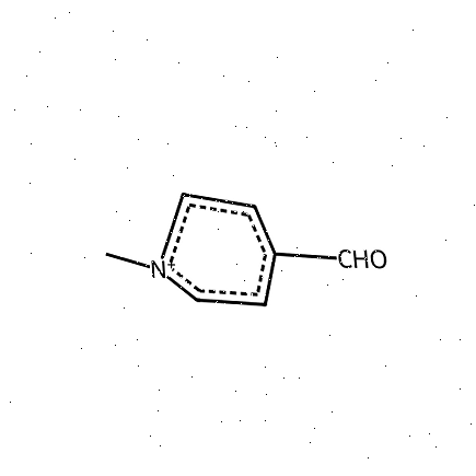 C[n+]1ccc(C=O)cc1